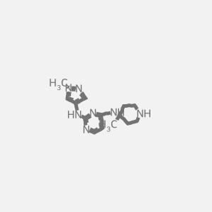 Cn1cc(Nc2nccc(NC3(C)CCNCC3)n2)cn1